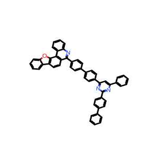 c1ccc(-c2ccc(-c3nc(-c4ccccc4)cc(-c4ccc(-c5ccc(-c6nc7ccccc7c7c6ccc6c8ccccc8oc67)cc5)cc4)n3)cc2)cc1